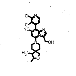 CC1OCC2(CCN(c3cc(C#N)c(-c4ccnc(Cl)c4Cl)c4ncc(CO)n34)CC2)C1N